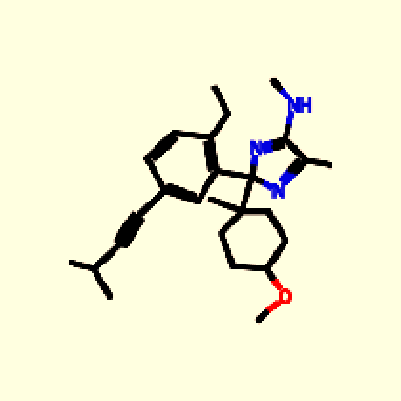 CCc1ccc(C#CC(C)C)cc1C1(C2(C)CCC(OC)CC2)N=C(C)C(NC)=N1